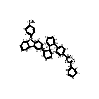 CC(C)(C)c1ccc(-n2c3ccccc3c3cc(-c4ccccc4-c4ccccc4-c4ccc(-c5nnc(-c6ccccc6)o5)cc4)ccc32)cc1